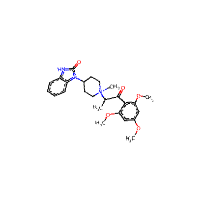 COc1cc(OC)c(C(=O)C(C)[N+]2(C)CCC(n3c(=O)[nH]c4ccccc43)CC2)c(OC)c1